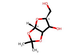 CC1(C)OC2C(O)[C@H](CO)O[C@H]2O1